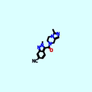 Cc1ncc2n1CCN(C(=O)c1c3ccc(C#N)cc3nn1C)C2